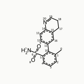 Cc1cccc(S(N)(=O)=O)c1-c1ccc2c(c1)CCC=N2